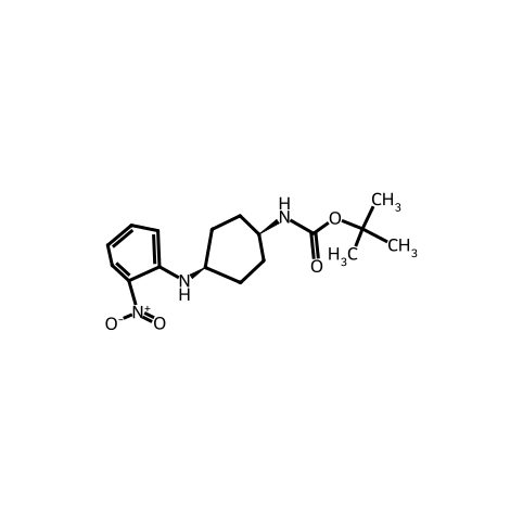 CC(C)(C)OC(=O)N[C@H]1CC[C@@H](Nc2ccccc2[N+](=O)[O-])CC1